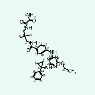 CC(C)(CNC(=O)C(N)=O)CNC(=O)c1ccc(Nc2nc(NC3(c4ccccc4)CC3)nc(OCC(F)(F)F)n2)cc1